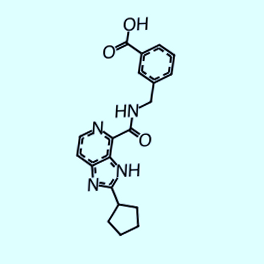 O=C(O)c1cccc(CNC(=O)c2nccc3nc(C4CCCC4)[nH]c23)c1